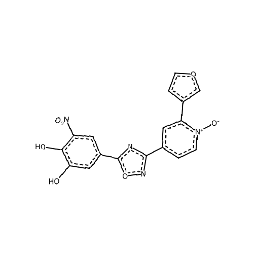 O=[N+]([O-])c1cc(-c2nc(-c3cc[n+]([O-])c(-c4ccoc4)c3)no2)cc(O)c1O